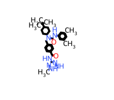 CN/N=C(\N=N)NC(=O)c1ccc(CN(C(=O)Nc2cc(C)cc(C)c2)C2CCC(C(C)(C)C)CC2)cc1